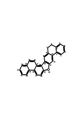 c1ccc2c(c1)CCc1cc3c(cc1-2)oc1ccc2c4ccccc4ccc2c13